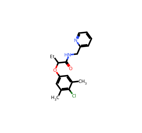 CCC(Oc1cc(C)c(Cl)c(C)c1)C(=O)NCc1ccccn1